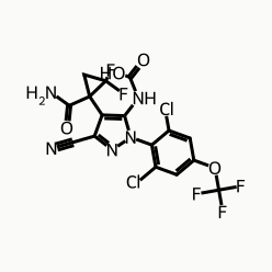 N#Cc1nn(-c2c(Cl)cc(OC(F)(F)F)cc2Cl)c(NC(=O)O)c1C1(C(N)=O)CC1(F)F